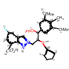 COc1cc(C(O)C(Cn2cc3cc(F)cc(C(=O)O)c3n2)OC2CCCC2)cc(OC)c1C